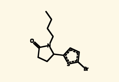 CCCCN1C(=O)CCC1c1ccc(Br)s1